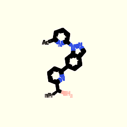 B[C@@H](CCC)c1cccc(-c2ccc3cnn(-c4cccc(C(C)=O)n4)c3c2)n1